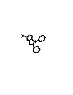 Brc1ccc2c(c1)cc(-c1ccccc1)n2-c1ccccc1